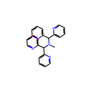 CN(C(c1ccccn1)c1ccccn1)C(c1ccccn1)c1ccccn1